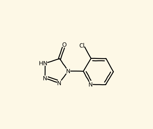 O=c1[nH]nnn1-c1ncccc1Cl